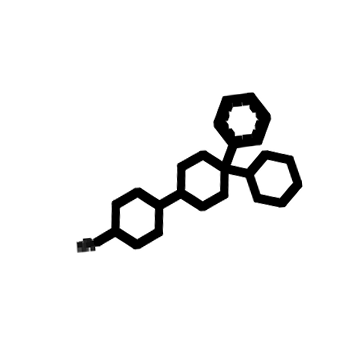 CCCC1CCC(C2CCC(c3ccccc3)(C3CCCCC3)CC2)CC1